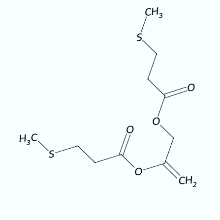 C=C(COC(=O)CCSC)OC(=O)CCSC